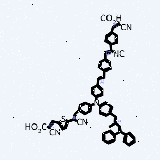 [C-]#[N+]/C(=C\c1ccc(/C=C/c2ccc(N(c3ccc(/C=C(\C)C=C(c4ccccc4)c4ccccc4)cc3)c3ccc(/C=C(\C#N)c4ccc(/C=C(\C#N)C(=O)O)s4)cc3)cc2)cc1)c1ccc(/C=C(\C#N)C(=O)O)cc1